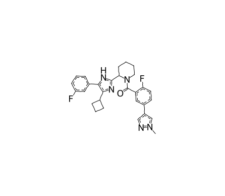 Cn1cc(-c2ccc(F)c(C(=O)N3CCCCC3c3nc(C4CCC4)c(-c4cccc(F)c4)[nH]3)c2)cn1